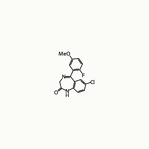 COc1ccc(F)c(C2=NCC(=O)Nc3ccc(Cl)cc32)c1